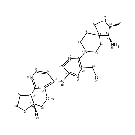 C[C@@H]1OCC2(CCN(c3ncc(Sc4ccnc5c4OC[C@@H]4CCCN54)nc3CO)CC2)[C@@H]1N